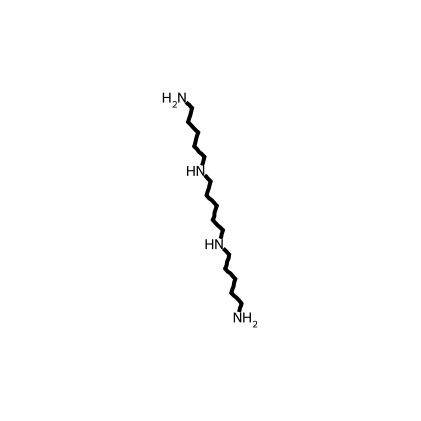 NCCCCCNCCCCCNCCCCCN